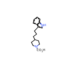 O=C(O)N1CCC(CCCc2c[nH]c3ccccc23)CC1